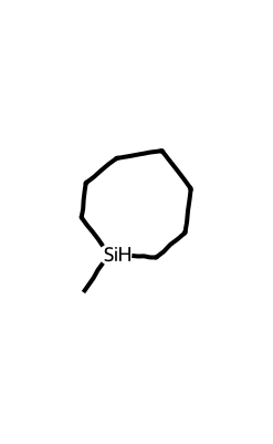 C[SiH]1CCCCCCC1